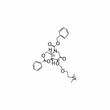 C[Si](C)(C)CCOCO[C@@H]1C(=O)CN(C(=O)OCc2ccccc2)[C@H]2CO[C@@H](c3ccccc3)O[C@@H]12